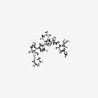 CCn1nc(C)c(OCc2ccccc2)c1-c1nc(-c2nc(C(=O)NCc3ccc(OC)cc3OC)n3cc(C)ncc23)n(C)n1